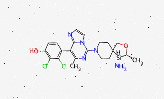 Cc1nc(N2CCC3(CC2)CO[C@@H](C)[Si@H]3N)n2ccnc2c1-c1ccc(O)c(Cl)c1Cl